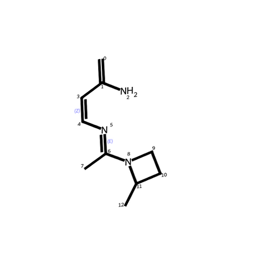 C=C(N)/C=C\N=C(/C)N1CCC1C